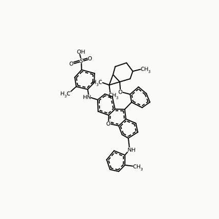 Cc1ccccc1Nc1ccc2c(-c3ccccc3OC34CC(C)CCC3C4(C)C)c3ccc(Nc4ccc(S(=O)(=O)O)cc4C)cc3[o+]c2c1